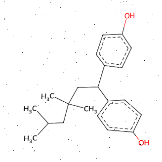 CC(C)CC(C)(C)CC(c1ccc(O)cc1)c1ccc(O)cc1